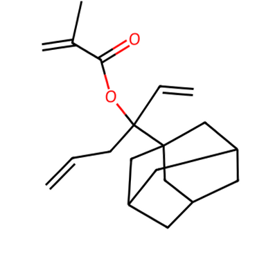 C=CCC(C=C)(OC(=O)C(=C)C)C12CC3CC(CC(C3)C1)C2